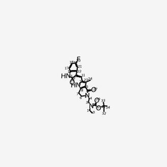 CCN(CCN1CCc2[nH]c(/C=C3\C(=O)Nc4ccc(F)cc43)c(C)c2C1=O)C(=O)OC(C)(C)C